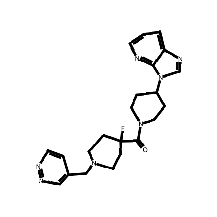 O=C(N1CCC(n2cnc3cccnc32)CC1)C1(F)CCN(Cc2ccnnc2)CC1